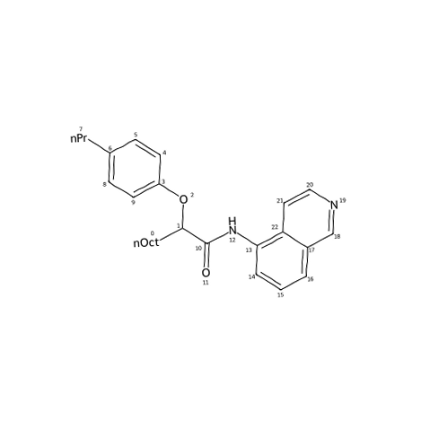 CCCCCCCCC(Oc1ccc(CCC)cc1)C(=O)Nc1cccc2cnccc12